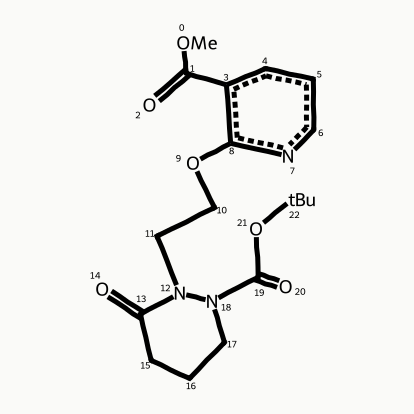 COC(=O)c1cccnc1OCCN1C(=O)CCCN1C(=O)OC(C)(C)C